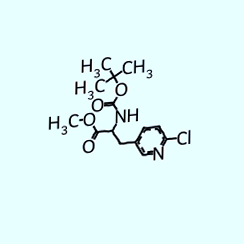 COC(=O)C(Cc1ccc(Cl)nc1)NC(=O)OC(C)(C)C